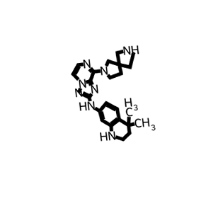 CC1(C)CCNc2cc(Nc3nc4c(N5CCC6(CCNC6)C5)nccn4n3)ccc21